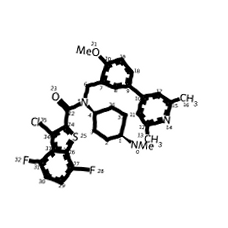 CN[C@H]1CC[C@@H](N(Cc2cc(-c3cc(C)nc(C)c3)ccc2OC)C(=O)c2sc3c(F)ccc(F)c3c2Cl)CC1